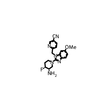 COc1ccc2nc(N3CC[C@H](F)[C@H](N)C3)n(Cc3ccc(C#N)cn3)c2c1